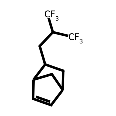 FC(F)(F)C(CC1CC2C=CC1C2)C(F)(F)F